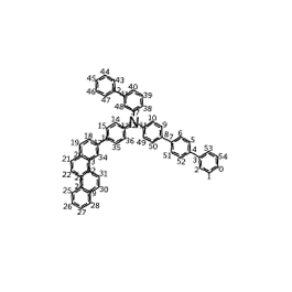 c1ccc(-c2ccc(-c3ccc(N(c4ccc(-c5ccc6ccc7c8ccccc8ccc7c6c5)cc4)c4cccc(-c5ccccc5)c4)cc3)cc2)cc1